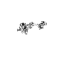 CCCC[C@@H](NC(=O)C(Cc1cn(C(=O)OC)c2ccccc12)NC(=O)C(CC(C)(C)C)NC(=O)N1C(C)CCCC1C)C(=O)OCCCCC(CON(O)O)ON(O)O